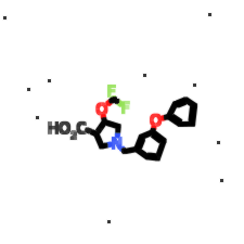 O=C(O)C1CN(Cc2cccc(Oc3ccccc3)c2)CC1OC(F)F